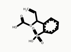 C=CC(OC(=O)O)c1ccccc1S(=O)(=O)O